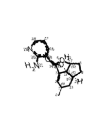 C[C@H]1C=C2C(=O)O[C@H]3CC[C@@H](C1)[C@@]23OCc1cccnc1N